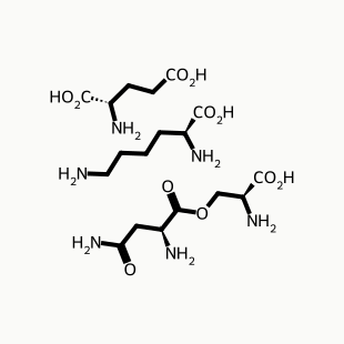 NC(=O)C[C@H](N)C(=O)OC[C@H](N)C(=O)O.NCCCC[C@H](N)C(=O)O.N[C@@H](CCC(=O)O)C(=O)O